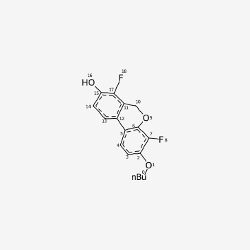 CCCCOc1ccc2c(c1F)OCc1c-2ccc(O)c1F